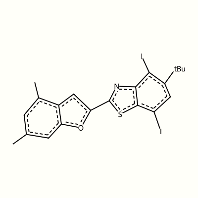 Cc1cc(C)c2cc(-c3nc4c(I)c(C(C)(C)C)cc(I)c4s3)oc2c1